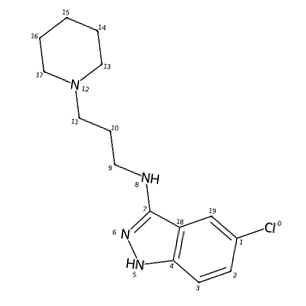 Clc1ccc2[nH]nc(NCCCN3CCCCC3)c2c1